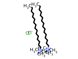 CCCCCCCCCCCCCCCC[N+](C)(C)C.CCCCCCCCCCCCCCCC[N+](C)(C)C.[Cl-].[Cl-]